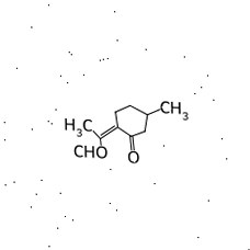 C/C(C=O)=C1\CCC(C)CC1=O